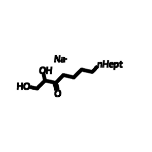 CCCCCCCCCCCC(=O)C(O)CO.[Na]